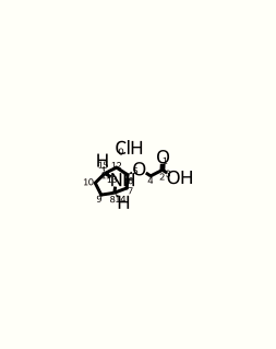 Cl.O=C(O)CO[C@@H]1C[C@H]2CC[C@@H](C1)N2